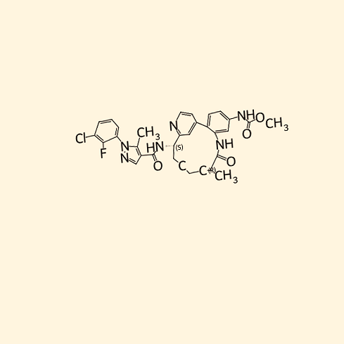 COC(=O)Nc1ccc2c(c1)NC(=O)[C@H](C)CCCC[C@H](NC(=O)c1cnn(-c3cccc(Cl)c3F)c1C)c1cc-2ccn1